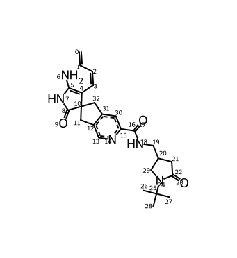 C=C/C=C\C1=C(N)NC(=O)C12Cc1cnc(C(=O)NCC3CC(=O)N(C(C)(C)C)C3)cc1C2